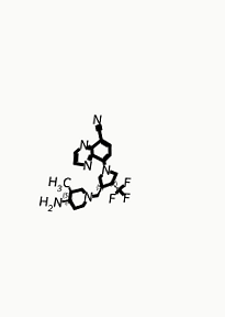 C[C@H]1CN(C[C@H]2CN(c3ccc(C#N)c4nccnc34)C[C@@H]2C(F)(F)F)CC[C@H]1N